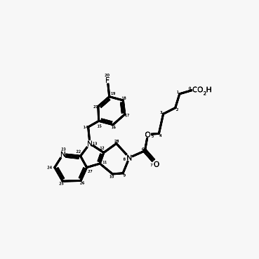 O=C(O)CCCCOC(=O)N1CCc2c(n(Cc3cccc(F)c3)c3ncccc23)C1